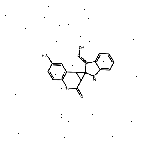 Cc1ccc2c(c1)C1C(C(=O)N2)C12Nc1ccccc1/C2=N\O